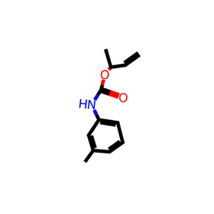 C=CC(C)OC(=O)Nc1cccc(C)c1